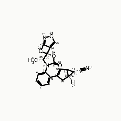 C[C@H]1N(c2ccccc2C2=CC3[C@H](C#N)[C@H]3C2)C(=O)O[C@@]12Oc1nocc12